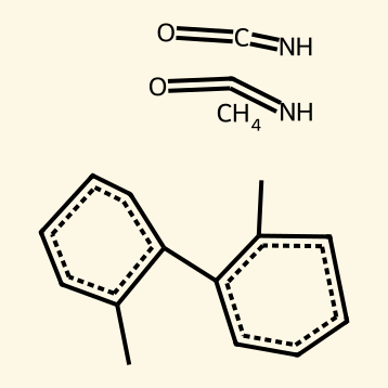 C.Cc1ccccc1-c1ccccc1C.N=C=O.N=C=O